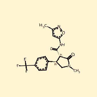 Cc1cc(NC(=O)[C@@H]2C(=O)N(C)C[C@H]2c2ccc(C(F)(F)F)cc2)on1